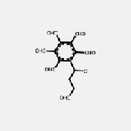 [O]C(CCC=O)c1c(C=O)c(C=O)c(C=O)c(C=O)c1C=O